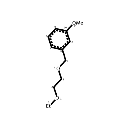 CCOCCO[CH]c1cccc(OC)c1